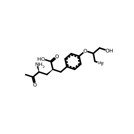 CC(=O)[C@@H](N)C[C@H](Cc1ccc(OC(CO)C[18F])cc1)C(=O)O